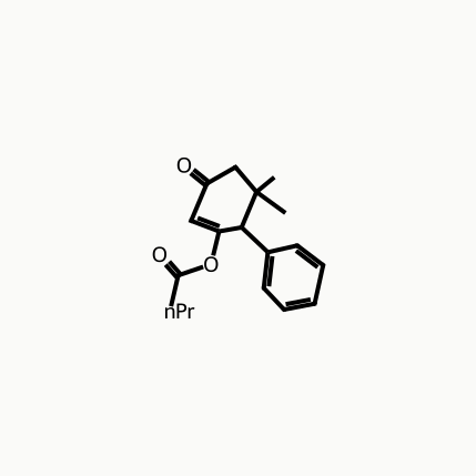 CCCC(=O)OC1=CC(=O)CC(C)(C)C1c1ccccc1